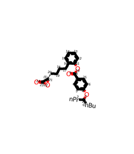 CCCCC(CCC)Oc1ccc(C(=O)Oc2ccccc2CCCC[C@@H]2OC2=O)cc1